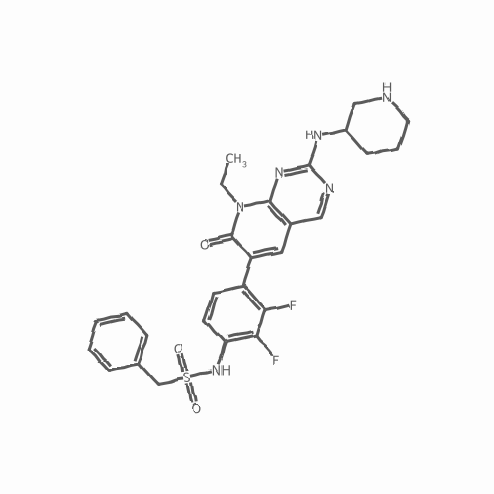 CCn1c(=O)c(-c2ccc(NS(=O)(=O)Cc3ccccc3)c(F)c2F)cc2cnc(NC3CCCNC3)nc21